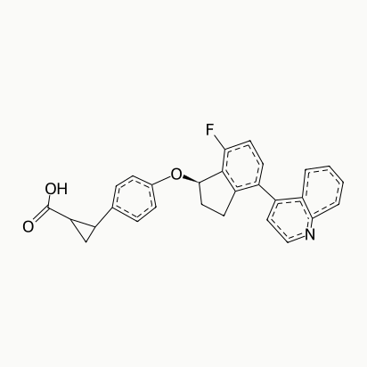 O=C(O)C1CC1c1ccc(O[C@@H]2CCc3c(-c4ccnc5ccccc45)ccc(F)c32)cc1